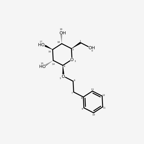 OC[C@H]1O[C@@H](OCCc2ccccc2)[C@H](O)[C@@H](O)[C@@H]1O